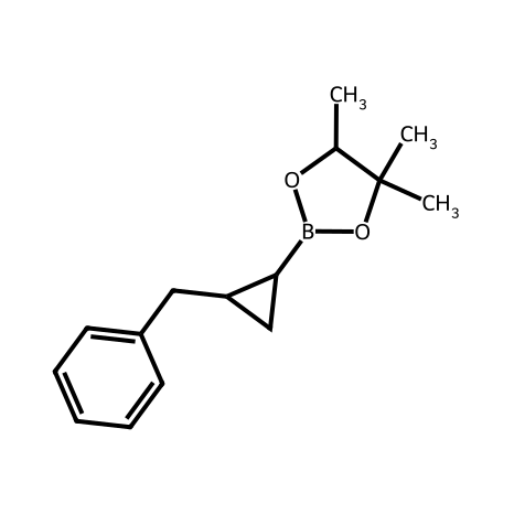 CC1OB(C2CC2Cc2ccccc2)OC1(C)C